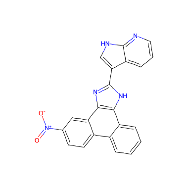 O=[N+]([O-])c1ccc2c3ccccc3c3[nH]c(-c4c[nH]c5ncccc45)nc3c2c1